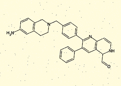 Nc1ccc2c(c1)CCN(Cc1ccc(-c3nc4c(cc3-c3ccccc3)C(C=O)NC=C4)cc1)C2